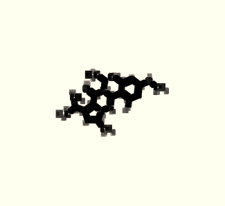 CCn1c(-c2c(F)cc(OC)cc2Cl)nn2c(C)cc(C(C)C)c2c1=O